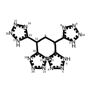 C(C(c1nnn[nH]1)c1nnn[nH]1)C(c1nnn[nH]1)c1nnn[nH]1